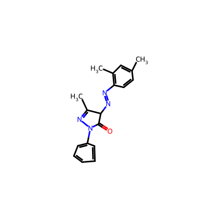 CC1=NN(c2ccccc2)C(=O)C1/N=N/c1ccc(C)cc1C